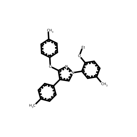 CCOc1ccc(C)cc1-n1cc(-c2ccc(C)cc2)c(Oc2ccc(C)cc2)n1